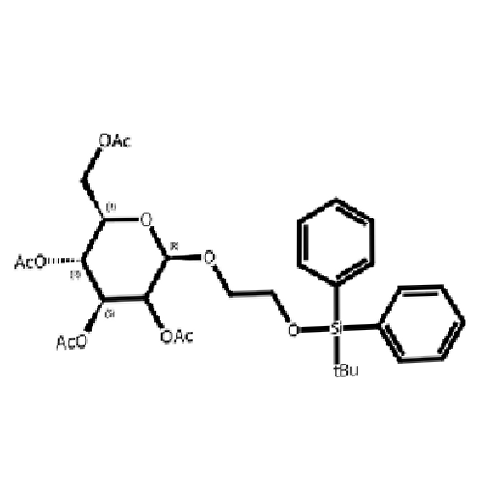 CC(=O)OC[C@H]1O[C@@H](OCCO[Si](c2ccccc2)(c2ccccc2)C(C)(C)C)C(OC(C)=O)[C@@H](OC(C)=O)[C@@H]1OC(C)=O